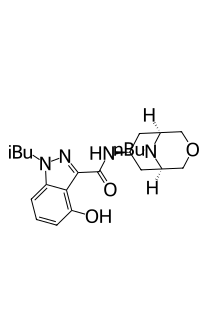 CCCCN1[C@@H]2COC[C@H]1C[C@@H](NC(=O)c1nn(C(C)CC)c3cccc(O)c13)C2